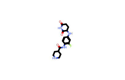 O=C1CCC(Nc2ccc(NC(=O)C3CCNCC3)c(F)c2)C(=O)N1